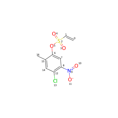 C=CS(=O)(=O)Oc1cc([N+](=O)[O-])c(Cl)cc1C